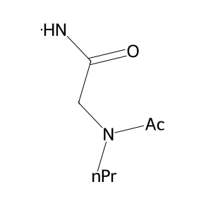 CCCN(CC([NH])=O)C(C)=O